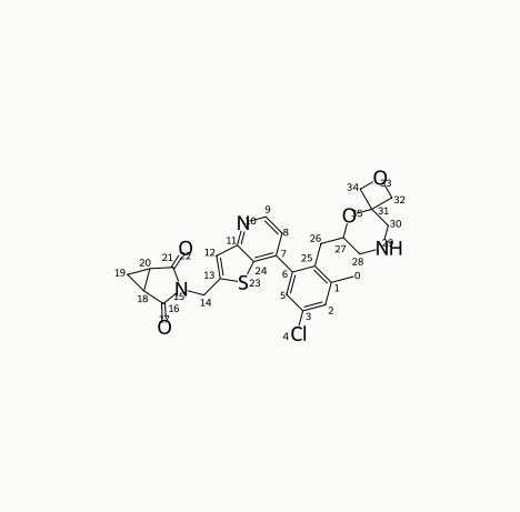 Cc1cc(Cl)cc(-c2ccnc3cc(CN4C(=O)C5CC5C4=O)sc23)c1CC1CNCC2(COC2)O1